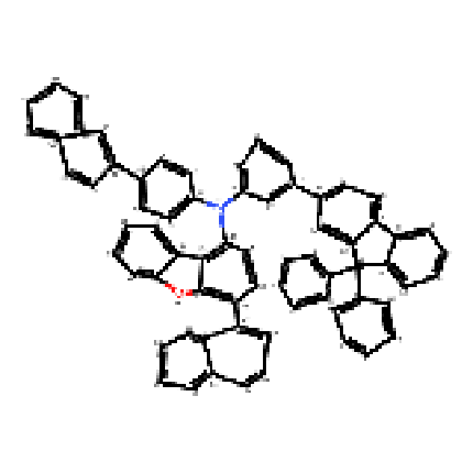 c1ccc(C2(c3ccccc3)c3ccccc3-c3ccc(-c4cccc(N(c5ccc(-c6ccc7ccccc7c6)cc5)c5ccc(-c6cccc7ccccc67)c6oc7ccccc7c56)c4)cc32)cc1